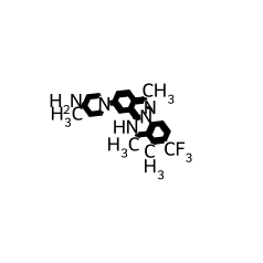 Cc1c(C(C)Nc2nnc(C)c3ccc(N4CCC(C)(N)CC4)cc23)cccc1C(F)(F)F